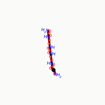 NOCc1ccc(C(=O)OCC(=O)NCCOCCOCCNC(=O)COCC(=O)NCCOCCOCCNC(=O)COCC(N)=O)cc1